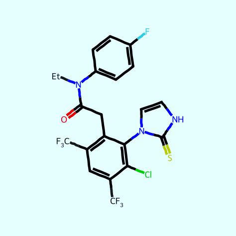 CCN(C(=O)Cc1c(C(F)(F)F)cc(C(F)(F)F)c(Cl)c1-n1cc[nH]c1=S)c1ccc(F)cc1